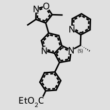 CCOC(=O)c1ccc(-c2cn([C@@H](C)c3ccccn3)c3cc(-c4c(C)noc4C)cnc23)cc1